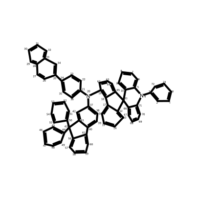 c1ccc(N2c3ccccc3C3(c4ccccc4-c4c(N(c5ccc(-c6ccc7ccccc7c6)cc5)c5ccc6c(c5)C(c5ccccc5)(c5ccccc5)c5ccccc5-6)cccc43)c3ccccc32)cc1